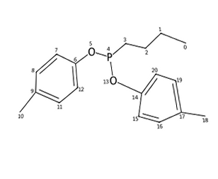 CCCCP(Oc1ccc(C)cc1)Oc1ccc(C)cc1